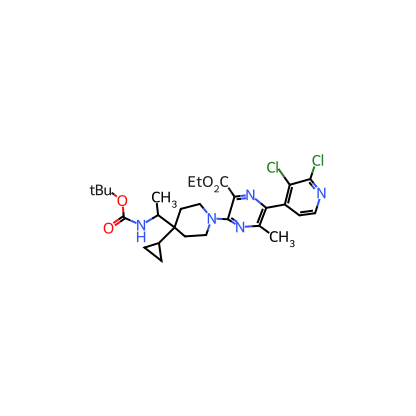 CCOC(=O)c1nc(-c2ccnc(Cl)c2Cl)c(C)nc1N1CCC(C2CC2)(C(C)NC(=O)OC(C)(C)C)CC1